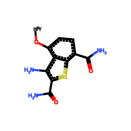 CCCOc1ccc(C(N)=O)c2sc(C(N)=O)c(N)c12